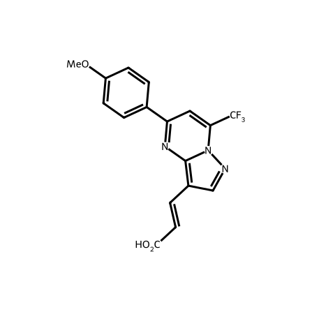 COc1ccc(-c2cc(C(F)(F)F)n3ncc(/C=C/C(=O)O)c3n2)cc1